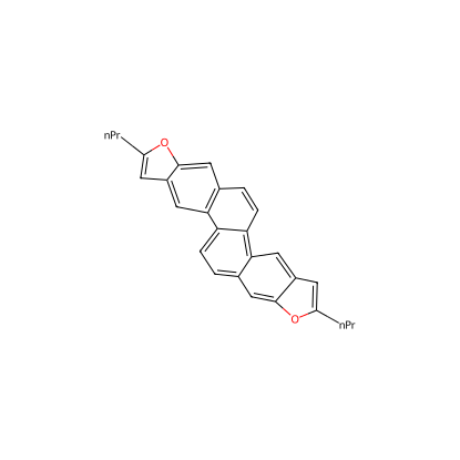 CCCc1cc2cc3c(ccc4c5cc6cc(CCC)oc6cc5ccc34)cc2o1